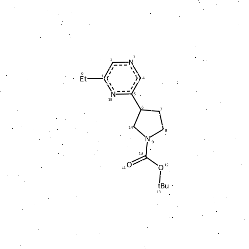 CCc1cncc(C2CCN(C(=O)OC(C)(C)C)C2)n1